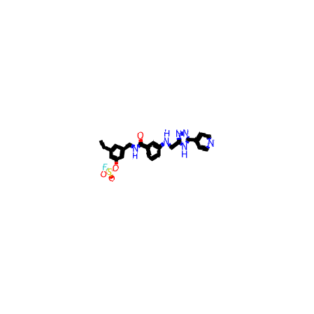 CCc1cc(CNC(=O)c2cccc(NCc3nnc(-c4ccncc4)[nH]3)c2)cc(OS(=O)(=O)F)c1